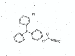 [C-]#[N+]C(Cl)Cl.[Pt].c1ccc(P(c2ccccc2)c2ccccc2)cc1